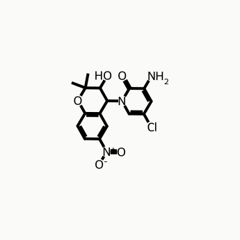 CC1(C)Oc2ccc([N+](=O)[O-])cc2C(n2cc(Cl)cc(N)c2=O)C1O